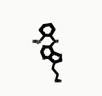 CSCCn1cnc2c(Nc3ccccc3C(=O)O)ncnc21